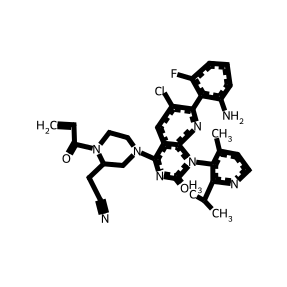 C=CC(=O)N1CCN(c2nc(=O)n(-c3c(C)ccnc3C(C)C)c3nc(-c4c(N)cccc4F)c(Cl)cc23)CC1CC#N